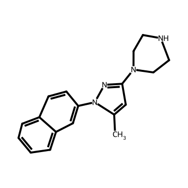 Cc1cc(N2CCNCC2)nn1-c1ccc2ccccc2c1